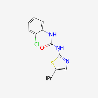 CC(C)c1cnc(NC(=O)Nc2ccccc2Cl)s1